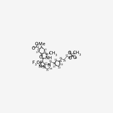 COC(=O)c1ccc([C@H](C)NC(=O)c2c(C(F)(F)F)nn3c2N(Cc2cccc(CCCOS(C)(=O)=O)c2)CC3)cc1